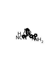 C[C@H](c1ncccn1)N(Cc1ccc(C#N)cn1)C(=O)c1ccc2nc(N)c3c(c2c1)CCC3